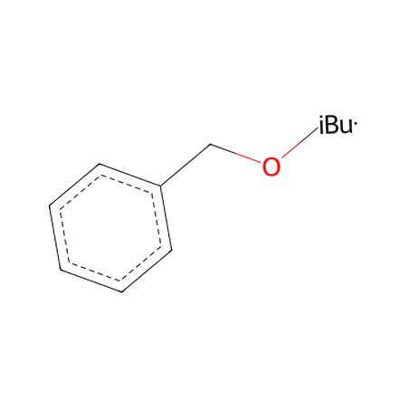 CC[C](C)OCc1ccccc1